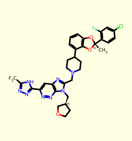 C[C@]1(c2ccc(Cl)cc2F)Oc2cccc(C3CCN(Cc4nc5cc(-c6nnc(C(F)(F)F)[nH]6)nnc5n4C[C@H]4CCOC4)CC3)c2O1